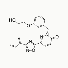 C=CC(=C)c1noc(-c2ccc(=O)n(Cc3cccc(OCCO)c3)n2)n1